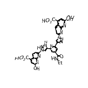 CCNC(=O)c1cc(C2=CN(c3ccc4c(C(=O)O)cc(O)nc4n3)NN2)nc(-c2cn(-c3ccc4c(C(=O)O)cc(O)nc4n3)nn2)c1